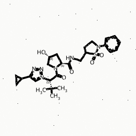 CC(C)(C)[C@@H](C(=O)N1C[C@H](O)C[C@H]1C(=O)NCC1CCN(c2ccccc2)S1(=O)=O)n1cc(C2CC2)nn1